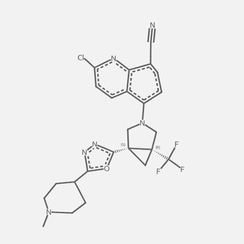 CN1CCC(c2nnc([C@]34CN(c5ccc(C#N)c6nc(Cl)ccc56)C[C@@]3(C(F)(F)F)C4)o2)CC1